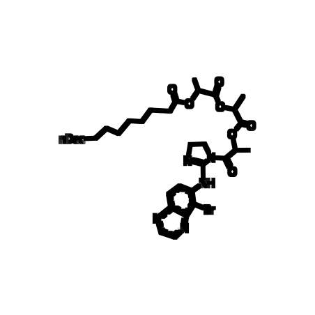 CCCCCCCCCCCCCCCCCC(=O)OC(C)C(=O)OC(C)C(=O)OC(C)C(=O)N1CCN=C1Nc1ccc2nccnc2c1Br